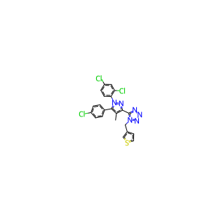 Cc1c(-c2nnnn2Cc2ccsc2)nn(-c2ccc(Cl)cc2Cl)c1-c1ccc(Cl)cc1